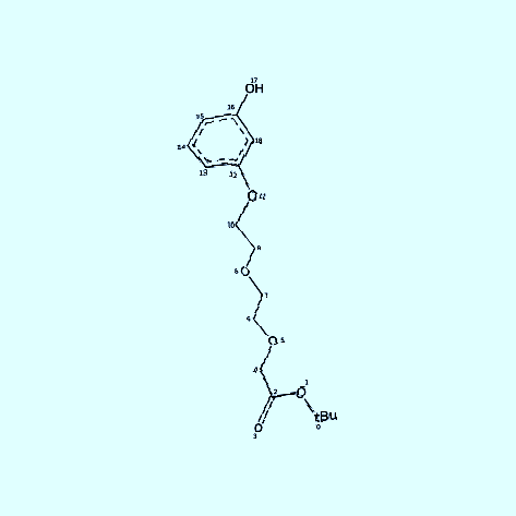 CC(C)(C)OC(=O)COCCOCCOc1cccc(O)c1